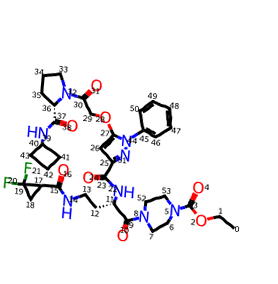 CCOC(=O)N1CCN(C(=O)[C@H](CCNC(=O)C2CC2(F)F)NC(=O)c2cc(OCC(=O)N3CCC[C@H]3C(=O)NC3CCC3)n(-c3ccccc3)n2)CC1